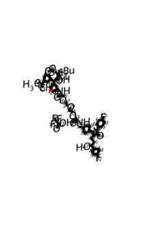 CCCCC1(CC)CS(=O)(=O)c2ccc(N(C)C)cc2C(c2cccc(NC(=O)COCCOCCOCC(=O)NCc3ccc(C4C(CCC(O)c5ccc(F)cc5)C(=O)N4c4ccc(F)cc4)cc3)c2)C1O.O=C(O)C(F)(F)F